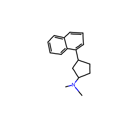 CN(C)C1CCC(c2cccc3ccccc23)C1